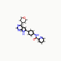 O=C(Nc1ccc(-c2cc3c(C4CCOCC4)ncnc3[nH]2)cc1)c1ccccn1